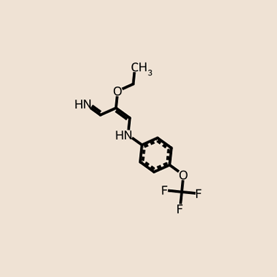 CCO/C(C=N)=C/Nc1ccc(OC(F)(F)F)cc1